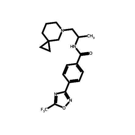 CC(CN1CCCC2(CC2)C1)NC(=O)c1ccc(-c2noc(C(F)(F)F)n2)cc1